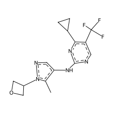 Cc1c(Nc2ncc(C(F)(F)F)c(C3CC3)n2)cnn1C1COC1